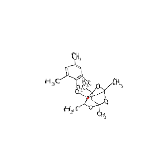 Cc1cc(C)c(OP2C3(C)CC4(C)OC(C)(CC2(C)O4)O3)c(C)c1